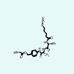 CC(C)[C@H](NC(=O)CCCCN=[N+]=[N-])C(=O)N[C@@H](C)C(=O)Nc1ccc(COC(=O)C(C)(C)C)cc1